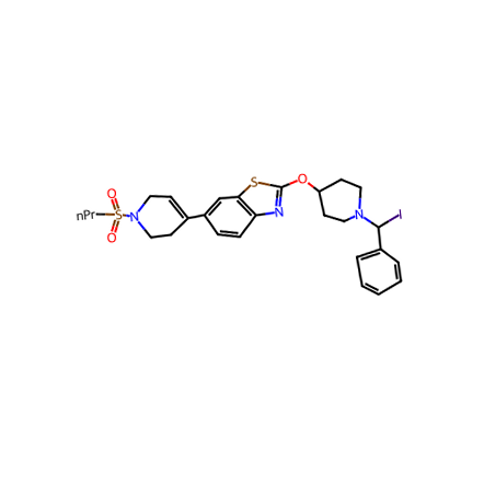 CCCS(=O)(=O)N1CC=C(c2ccc3nc(OC4CCN(C(I)c5ccccc5)CC4)sc3c2)CC1